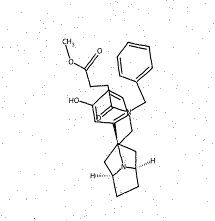 COC(=O)CCC(=O)N(CCN1[C@@H]2CC[C@H]1C[C@@H](c1cccc(O)c1)C2)Cc1ccccc1